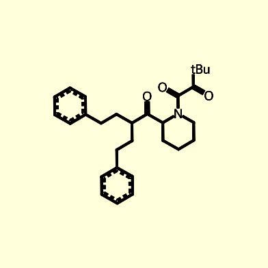 CC(C)(C)C(=O)C(=O)N1CCCCC1C(=O)C(CCc1ccccc1)CCc1ccccc1